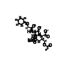 CC(=O)OCC1=C(C(=O)[O-])N2C(=O)[C@H](NC(=O)COc3ccccc3)[C@@H]2S(=O)(=O)C1.[Na+]